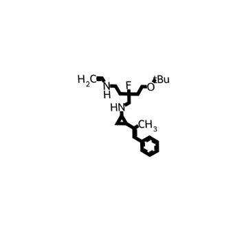 C=CNCCC(F)(CCOC(C)(C)C)CNC1CC1/C(C)=C/c1ccccc1